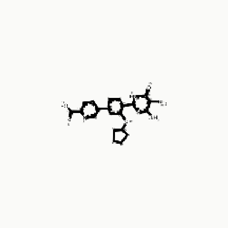 Nc1nc(-c2ccc(-c3ccc(C(=O)O)nc3)cc2OC2CCCC2)[nH]c(=O)c1N